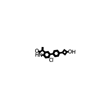 C=C1C(=O)Nc2cc(Cl)c(-c3ccc(C4CC(O)C4)cc3)cc21